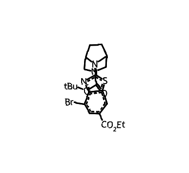 CCOC(=O)c1cc(Br)c2nc(N3C4CCC3CN(C(=O)OC(C)(C)C)C4)sc2c1